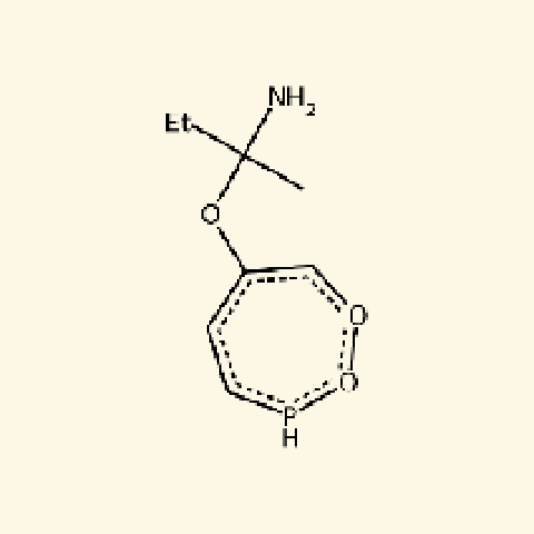 CCC(C)(N)Oc1cc[pH]ooc1